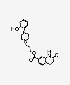 O=C1CCc2ccc(C(=O)OCCCN3CCN(c4ccccc4O)CC3)cc2N1